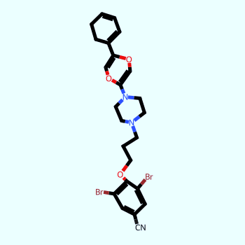 N#Cc1cc(Br)c(OCCCN2CCN(C3=COC(C4=CC=CCC4)=CO3)CC2)c(Br)c1